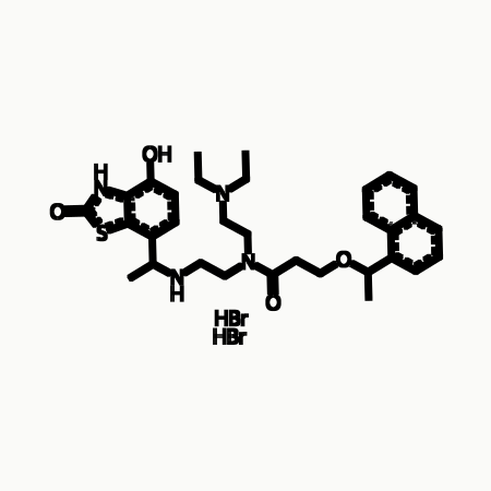 Br.Br.CCN(CC)CCN(CCNC(C)c1ccc(O)c2[nH]c(=O)sc12)C(=O)CCOC(C)c1cccc2ccccc12